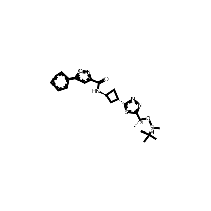 C[C@@H](O[SiH](C)C(C)(C)C)c1nnc([C@H]2C[C@H](NC(=O)c3cc(-c4ccccc4)on3)C2)s1